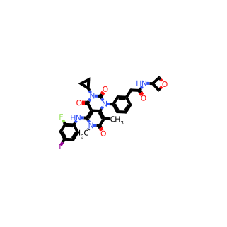 Cc1c(=O)n(C)c(Nc2ccc(I)cc2F)c2c(=O)n(C3CC3)c(=O)n(-c3cccc(CC(=O)NC4COC4)c3)c12